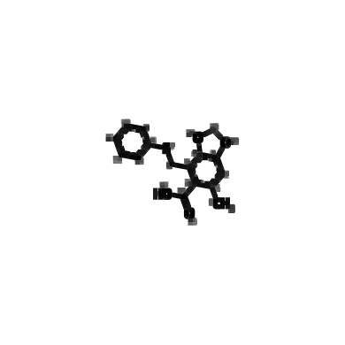 Cc1cc2c(c(CSc3ccccc3)c1C(=O)O)OCO2